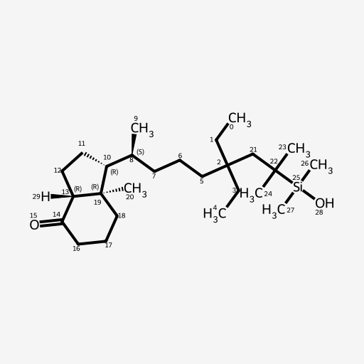 CCC(CC)(CCC[C@H](C)[C@H]1CC[C@H]2C(=O)CCC[C@]12C)CC(C)(C)[Si](C)(C)O